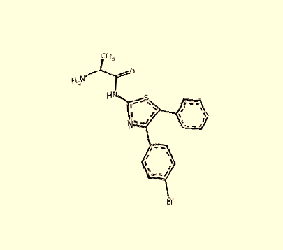 C[C@H](N)C(=O)Nc1nc(-c2ccc(Br)cc2)c(-c2ccccc2)s1